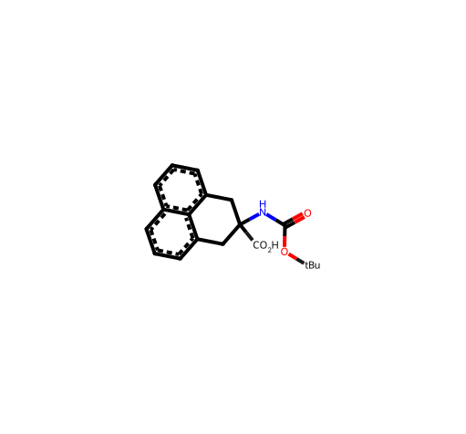 CC(C)(C)OC(=O)NC1(C(=O)O)Cc2cccc3cccc(c23)C1